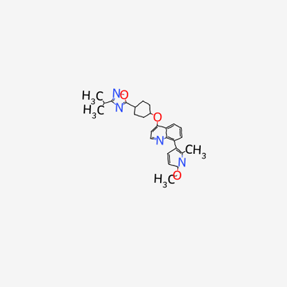 COc1ccc(-c2cccc3c(OC4CCC(c5nc(C(C)C)no5)CC4)ccnc23)c(C)n1